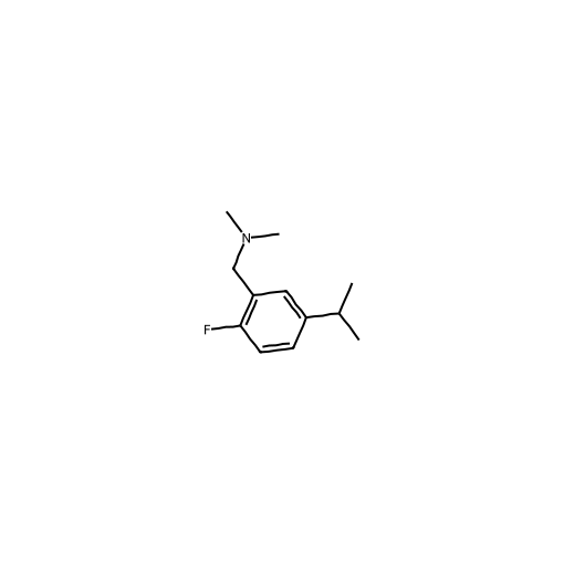 CC(C)c1ccc(F)c(CN(C)C)c1